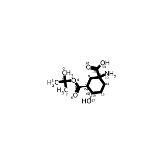 CC(C)(C)OC(=O)[C@H]1CC(N)(C(=O)O)CC[C@@H]1O